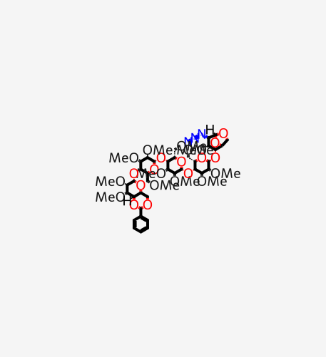 COCC1O[C@@H](O[C@H]2C(OC)C(OC)[C@@H](O[C@H]3C(OC)C(OC)[C@H](O[C@H]4C5CO[C@H](O5)C(N=[N+]=[N-])[C@@H]4OC)O[C@H]3COC)O[C@H]2COC)[C@@H](OC)C(OC)[C@@H]1O[C@@H]1OC2COC(c3ccccc3)O[C@H]2C(OC)[C@@H]1OC